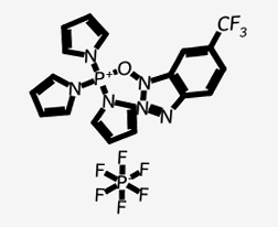 FC(F)(F)c1ccc2nnn(O[P+](n3cccc3)(n3cccc3)n3cccc3)c2c1.F[P-](F)(F)(F)(F)F